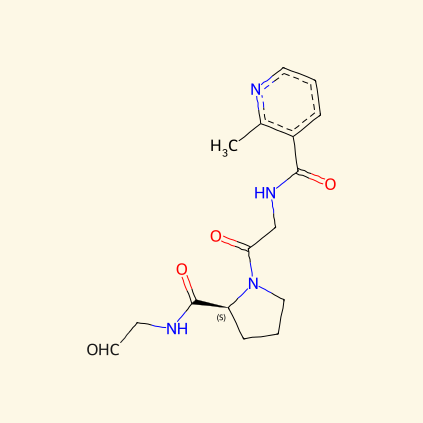 Cc1ncccc1C(=O)NCC(=O)N1CCC[C@H]1C(=O)NCC=O